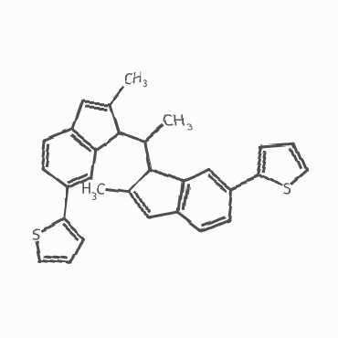 CC1=Cc2ccc(-c3cccs3)cc2C1C(C)C1C(C)=Cc2ccc(-c3cccs3)cc21